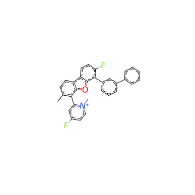 Cc1ccc2c(oc3c(-c4cccc(-c5ccccc5)c4)c(F)ccc32)c1-c1cc(F)cc[n+]1C